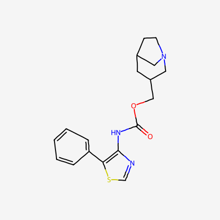 O=C(Nc1ncsc1-c1ccccc1)OCC1CC2CCN(C2)C1